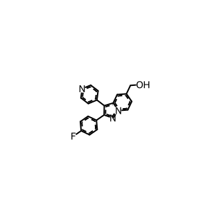 OCc1ccn2nc(-c3ccc(F)cc3)c(-c3ccncc3)c2c1